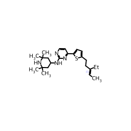 C/C=C(\CC)CCc1ccc(-c2ccnc(NC3CC(C)(C)NC(C)(C)C3)n2)s1